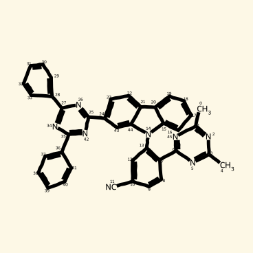 Cc1nc(C)nc(-c2ccc(C#N)cc2-n2c3ccccc3c3ccc(-c4nc(-c5ccccc5)nc(-c5ccccc5)n4)cc32)n1